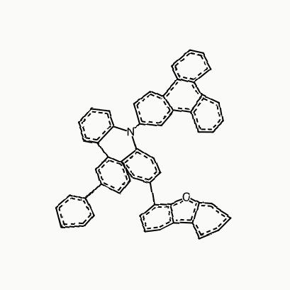 c1ccc(-c2cccc(-c3ccccc3N(c3ccc(-c4cccc5c4oc4ccccc45)cc3)c3ccc4c5ccccc5c5ccccc5c4c3)c2)cc1